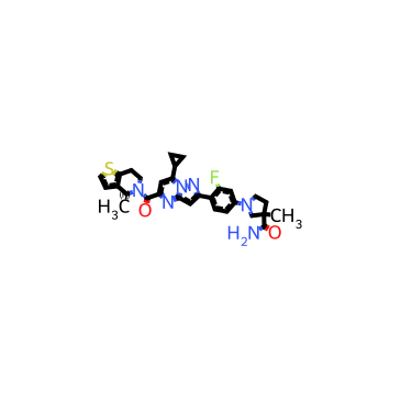 C[C@@H]1c2ccsc2CCN1C(=O)c1cc(C2CC2)n2nc(-c3ccc(N4CCC(C)(C(N)=O)C4)cc3F)cc2n1